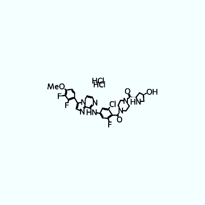 COc1ccc(-c2cnc3c(Nc4cc(F)c(C(=O)N5CCN(C(=O)[C@@H]6C[C@@H](O)CN6)CC5)c(Cl)c4)nccn23)c(F)c1F.Cl.Cl